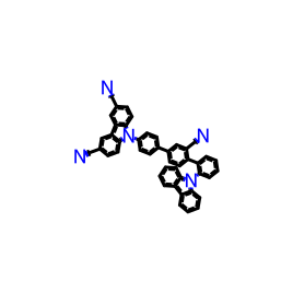 N#Cc1ccc2c(c1)c1cc(C#N)ccc1n2-c1ccc(-c2ccc(-c3ccccc3-n3c4ccccc4c4ccccc43)c(C#N)c2)cc1